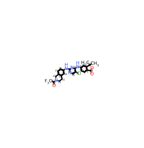 CC1(C)OC(=O)c2ccc(Nc3nc(Nc4ccc5c(c4)CCN(C(=O)C(F)(F)F)C5)ncc3Cl)cc21